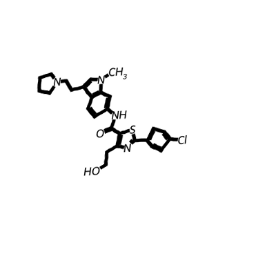 Cn1cc(CCN2CCCC2)c2ccc(NC(=O)c3sc(-c4ccc(Cl)cc4)nc3CCO)cc21